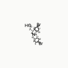 OCCCCN(Cc1ccc(Br)cc1)Cc1ccc(Br)cc1